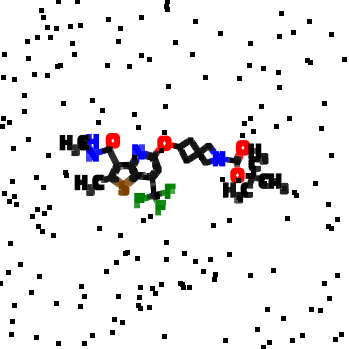 CNC(=O)c1c(C)sc2c(C(F)(F)F)cc(OC3CC4(C3)CN(C(=O)OC(C)(C)C)C4)nc12